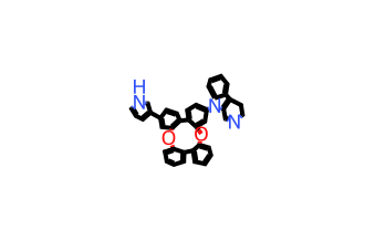 C1=CNCC(c2ccc3c(c2)Oc2ccccc2-c2ccccc2Oc2cc(-n4c5c(c6ccccc64)CCN=C5)ccc2-3)=C1